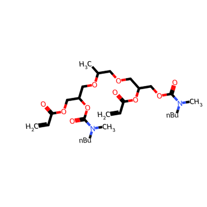 C=CC(=O)OCC(COC(C)COCC(COC(=O)N(C)CCCC)OC(=O)C=C)OC(=O)N(C)CCCC